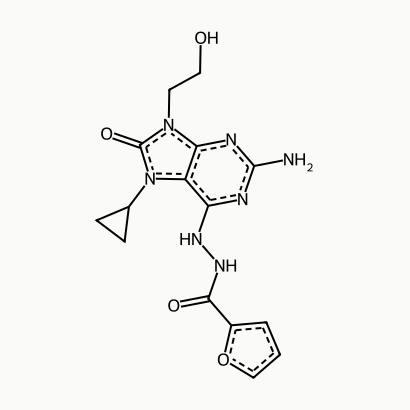 Nc1nc(NNC(=O)c2ccco2)c2c(n1)n(CCO)c(=O)n2C1CC1